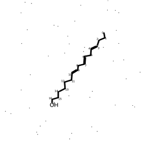 CCCC=CCC=CCC=CCCCCCCO